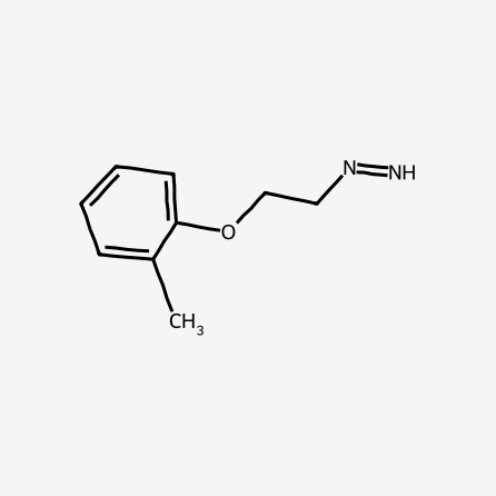 Cc1ccccc1OCCN=N